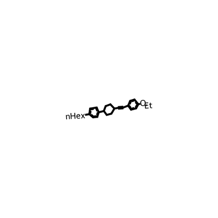 CCCCCCc1ccc(C2CCC(C#Cc3ccc(OCC)cc3)CC2)cc1